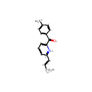 Cc1ccc(C(=O)c2cccc(/C=C/C(=O)O)n2)cc1